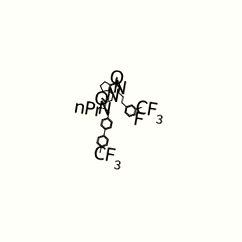 CCCN(Cc1ccc(-c2ccc(C(F)(F)F)cc2)cc1)C(=O)Cn1c(CCc2ccc(F)c(C(F)(F)F)c2)nc(=O)c2c1CCC2